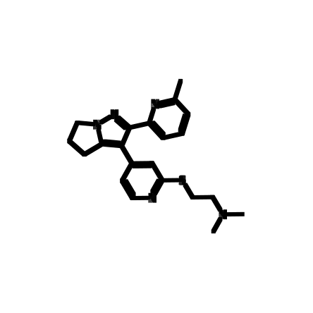 Cc1cccc(-c2nn3c(c2-c2ccnc(SCCN(C)C)c2)CCC3)n1